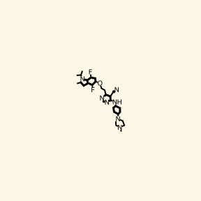 Cc1cc2c(F)c(OCCc3ncnc(Nc4ccc(N5CCN(C)CC5)cc4)c3C#N)cc(F)c2n1C(C)C